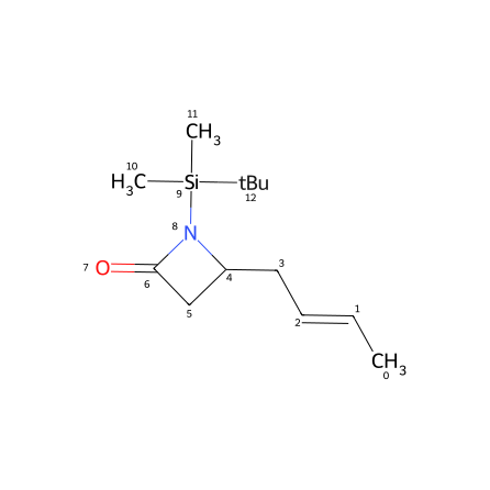 CC=CCC1CC(=O)N1[Si](C)(C)C(C)(C)C